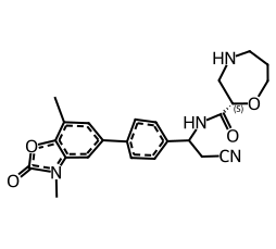 Cc1cc(-c2ccc(C(CC#N)NC(=O)[C@@H]3CNCCCO3)cc2)cc2c1oc(=O)n2C